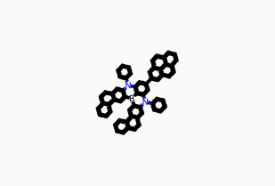 c1ccc(N2c3cc4ccc5ccccc5c4cc3B3c4cc5c(ccc6ccccc65)cc4N(c4ccccc4)c4cc(-c5cc6ccc7cccc8ccc(c5)c6c78)cc2c43)cc1